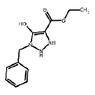 CCOC(=O)C1=C(O)N(Cc2ccccc2)NN1